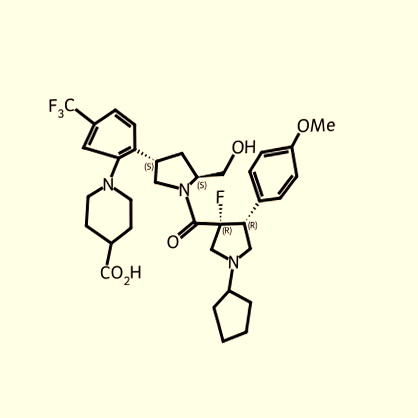 COc1ccc([C@@H]2CN(C3CCCC3)C[C@@]2(F)C(=O)N2C[C@H](c3ccc(C(F)(F)F)cc3N3CCC(C(=O)O)CC3)C[C@H]2CO)cc1